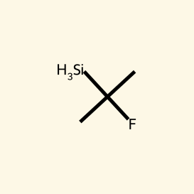 CC(C)(F)[SiH3]